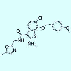 COc1ccc(COc2c(Cl)ccc3c(C(=O)NCc4ncc(C)o4)c(N)sc23)cc1